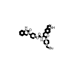 CCC(C)CN1CCN(C(=O)C(Cc2ccc3[nH]ncc3c2)NC(=O)ON2CCC(N3Cc4ccccc4NC3=O)CC2)CC1